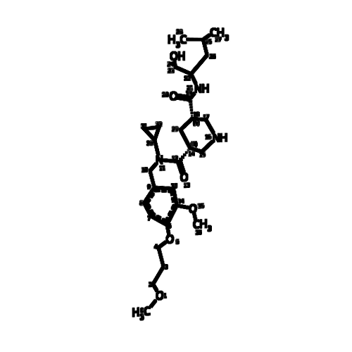 COCCCOc1ccc(CN(C(=O)[C@H]2CNC[C@@H](C(=O)NC(CO)CC(C)C)C2)C2CC2)cc1OC